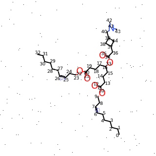 CCCCCC/C=C\CCOC(=O)CCCC(CCCC(=O)OCC/C=C\CCCCCC)OC(=O)CC1CC(CN(C)C)C1